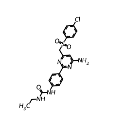 CCNC(=O)Nc1ccc(-c2nc(N)cc(CS(=O)(=O)c3ccc(Cl)cc3)n2)cc1